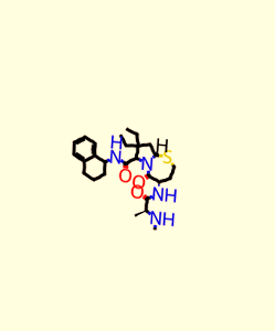 CCC1(CC)C[C@@H]2SCC[C@H](NC(=O)[C@H](C)NC)C(=O)N2C1C(=O)NC1CCCc2ccccc21